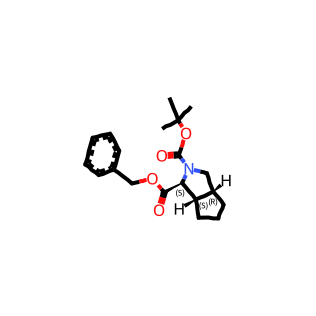 CC(C)(C)OC(=O)N1C[C@@H]2CCC[C@@H]2[C@H]1C(=O)OCc1ccccc1